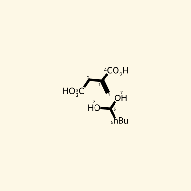 C=C(CC(=O)O)C(=O)O.CCCCC(O)O